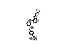 FC(F)(F)Cc1cc2c(N[C@@H]3CCC[C@H](NCc4ccc(-c5nnc[nH]5)cc4)C3)ncnc2s1